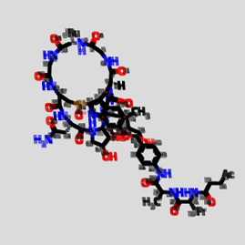 CC[C@H](C)[C@@H]1NC(=O)CNC(=O)[C@@H]2Cc3c([nH]c4cc(OCc5ccc(NC(=O)[C@H](C)NC(=O)[C@@H](NC(=O)CCC(C)=O)C(C)C)cc5)ccc34)[S+]([O-])CC(NC(=O)CNC1=O)C(=O)N[C@@H](CC(N)=O)C(=O)N1C[C@H](O)C[C@]1(C=O)N[C@@H]([C@@H](C)[C@@H](O)CO)C(=O)N2